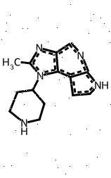 Cc1nc2cnc3[nH]ccc3c2n1C1CCNCC1